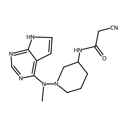 CN(c1ncnc2[nH]ccc12)N1CCCC(NC(=O)CC#N)C1